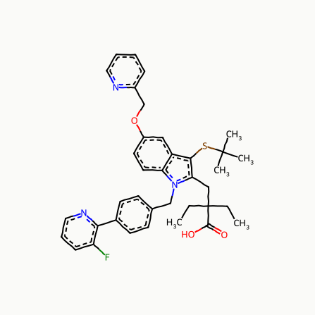 CCC(CC)(Cc1c(SC(C)(C)C)c2cc(OCc3ccccn3)ccc2n1Cc1ccc(-c2ncccc2F)cc1)C(=O)O